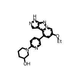 CCOc1cc(-c2ccc(N3CCCC(O)C3)nc2)c2c3cn[nH]c3nn2c1